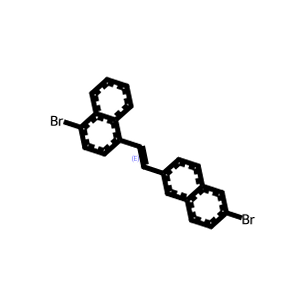 Brc1ccc2cc(/C=C/c3ccc(Br)c4ccccc34)ccc2c1